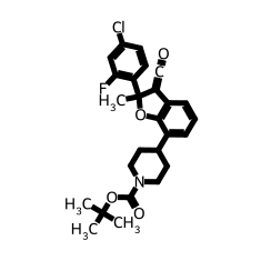 CC(C)(C)OC(=O)N1CCC(c2cccc3c2OC(C)(c2ccc(Cl)cc2F)C3=C=O)CC1